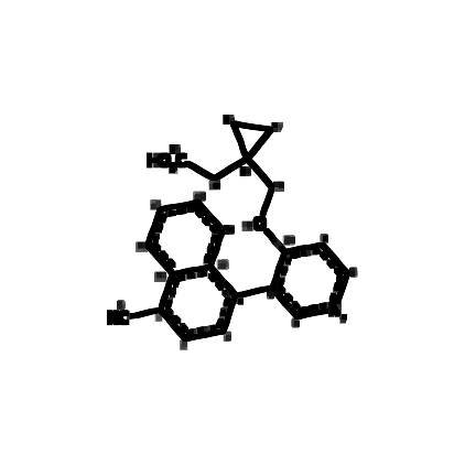 N#Cc1ccc(-c2cnccc2OCC2(CC(=O)O)CC2)c2ccccc12